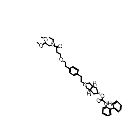 CCN(CC(OC)OC)C(=O)CCOCCc1ccc(CCN2C[C@H]3C[C@H](OC(=O)Nc4ccccc4-c4ccccc4)C[C@H]3C2)cc1